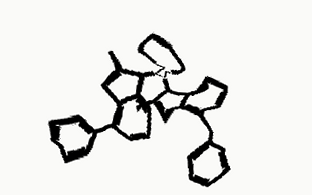 CC1=Cc2c(-c3ccccc3)cccc2[CH]1[Zr]1([CH]2C(C)=Cc3c(-c4ccccc4)cccc32)[CH2]CC[CH2]1